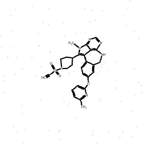 C#CS(=O)(=O)N1CCC(c2c3c4c(ncnc4n2C)NCc2cc(Oc4cccc(C)n4)ccc2-3)CC1